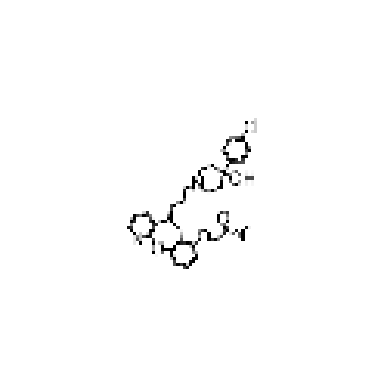 CN(C)C(=O)COc1cccc2c1CC(=CCCN1CCC(O)(c3ccc(Cl)cc3)CC1)c1cccnc1O2